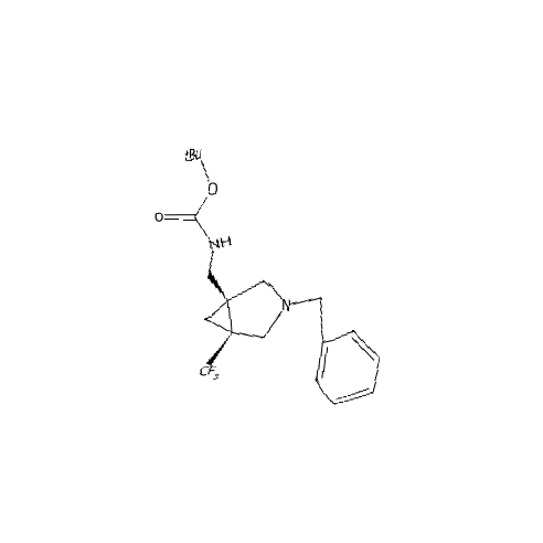 CC(C)(C)OC(=O)NC[C@@]12CN(Cc3ccccc3)C[C@]1(C(F)(F)F)C2